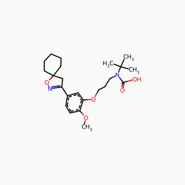 COc1ccc(C2=NOC3(CCCCC3)C2)cc1OCCCN(C(=O)O)C(C)(C)C